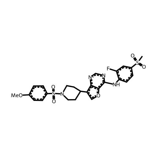 COc1ccc(S(=O)(=O)N2CCC(c3coc4c(Nc5ccc(S(C)(=O)=O)cc5F)ncnc34)CC2)cc1